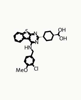 COc1ccc(CNc2nc([C@H]3CC[C@H](C(O)O)CC3)nc3sc4ccccc4c23)cc1Cl